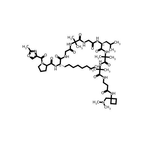 CCCCCCCC[C@H](NC(=O)C1CCCN1C(=O)c1coc(C)n1)C(=O)NCC(=O)NC(C)(C)C(=O)NCC(=O)N[C@@H](CC(C)C)C(=O)NC(C)(C)C(=O)NC(C)(C)C(=O)NCCC(=O)NC1(CN(C)C)CCC1